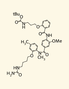 COc1cc(C(=O)N(C)c2ccc(C)cc2OCCCCNC(N)=O)ccc1NC(=O)c1ccccc1OCCCNC(=O)OC(C)(C)C